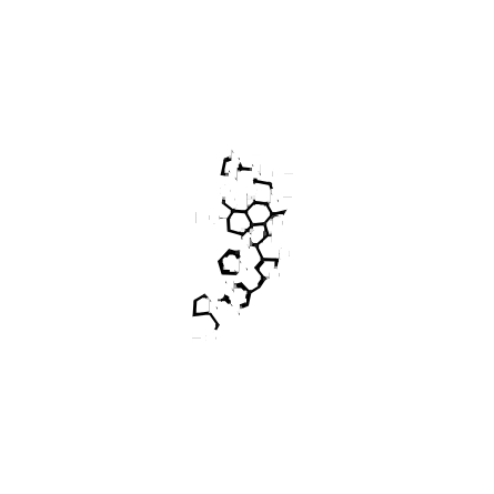 CC(NC1CC2[C@](C)(CC[C@@H](O)[C@@]2(C)CO)C(CC(Nc2ccccn2)C2=C/C(=C\c3cnc(N4CCCC4CO)nc3)OC2=O)C12CO2)C(=O)NC1=NCC=N1